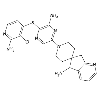 Nc1nc(N2CCC3(CC2)Cc2ncccc2C3N)cnc1Sc1ccnc(N)c1Cl